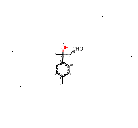 Cc1ccc(C(C)(O)CC=O)cc1